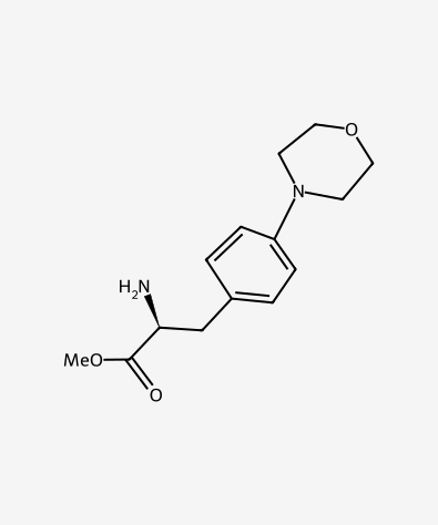 COC(=O)[C@@H](N)Cc1ccc(N2CCOCC2)cc1